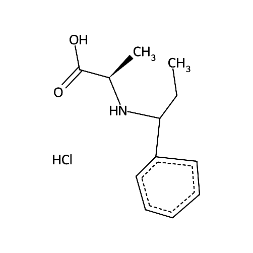 CCC(N[C@H](C)C(=O)O)c1ccccc1.Cl